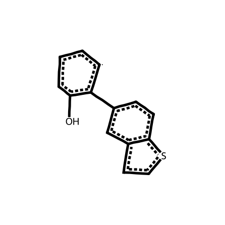 Oc1ccc[c]c1-c1ccc2sccc2c1